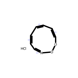 C1=C\C=C/OO/N=C\C=C/1.Cl